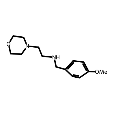 COc1ccc(CNCCN2CCOCC2)cc1